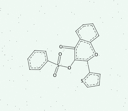 O=c1c(OS(=O)(=O)c2ccccc2)c(-c2cccs2)oc2ccccc12